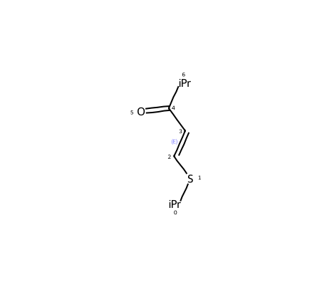 CC(C)S/C=C/C(=O)C(C)C